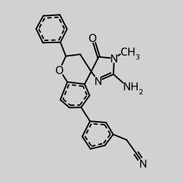 CN1C(=O)C2(CC(c3ccccc3)Oc3ccc(-c4cccc(CC#N)c4)cc32)N=C1N